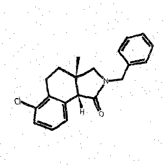 C[C@]12CCc3c(Cl)cccc3[C@H]1C(=O)N(Cc1ccccc1)C2